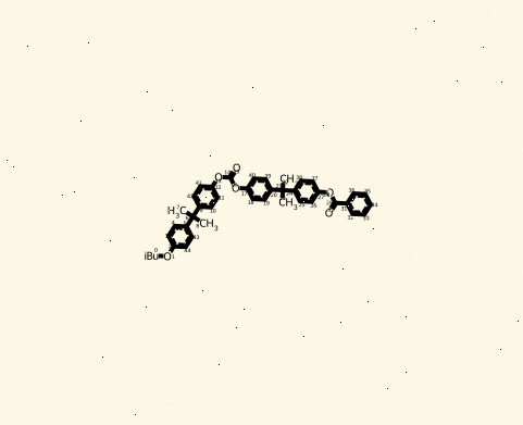 CCC(C)Oc1ccc(C(C)(C)c2ccc(OC(=O)Oc3ccc(C(C)(C)c4ccc(OC(=O)c5ccccc5)cc4)cc3)cc2)cc1